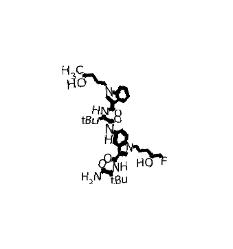 CC(O)CCCn1cc(C(=O)NC(C(=O)Nc2ccc3c(c2)c(C(=O)NC(C(N)=O)C(C)(C)C)cn3CCCC(O)CF)C(C)(C)C)c2ccccc21